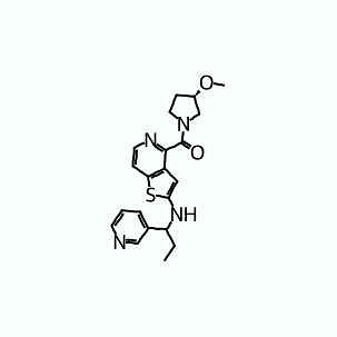 CCC(Nc1cc2c(C(=O)N3CC[C@@H](OC)C3)nccc2s1)c1cccnc1